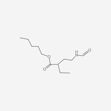 CCCCCOC(=O)C(CC)CCNC=O